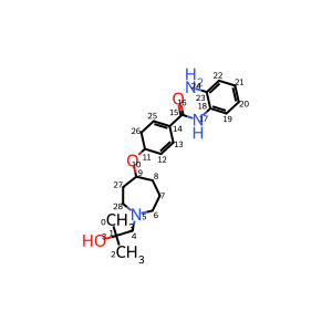 CC(C)(O)CN1CCCC(OC2C=CC(C(=O)Nc3ccccc3N)=CC2)CC1